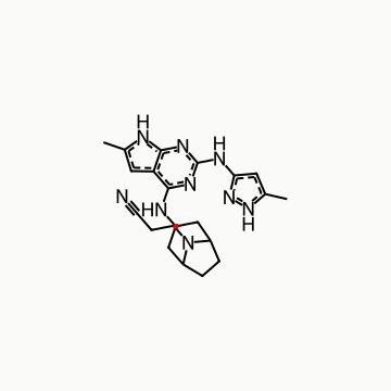 Cc1cc(Nc2nc(NC3CC4CCC(C3)N4CCC#N)c3cc(C)[nH]c3n2)n[nH]1